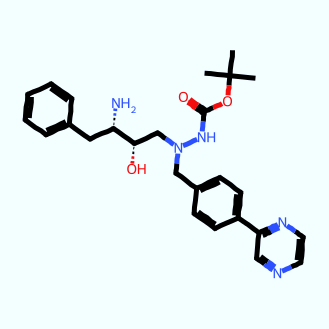 CC(C)(C)OC(=O)NN(Cc1ccc(-c2cnccn2)cc1)C[C@H](O)[C@@H](N)Cc1ccccc1